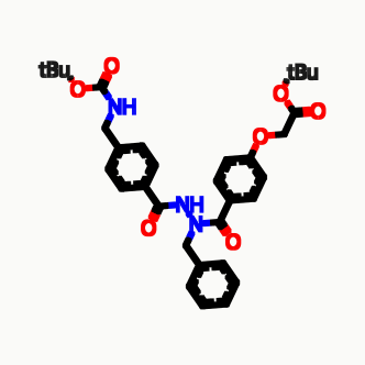 CC(C)(C)OC(=O)COc1ccc(C(=O)N(Cc2ccccc2)NC(=O)c2ccc(CNC(=O)OC(C)(C)C)cc2)cc1